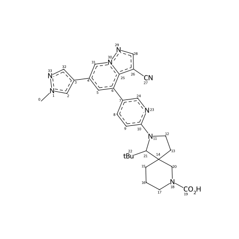 Cn1cc(-c2cc(-c3ccc(N4CCC5(CCCN(C(=O)O)C5)C4C(C)(C)C)nc3)c3c(C#N)cnn3c2)cn1